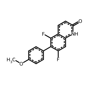 COc1ccc(-c2c(F)cc3[nH]c(=O)ccc3c2F)cc1